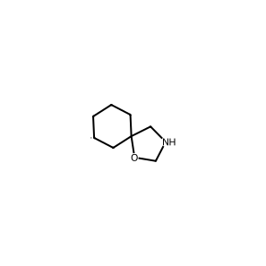 [CH]1CCCC2(C1)CNCO2